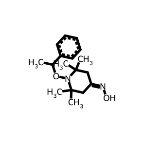 CC(ON1C(C)(C)CC(=NO)CC1(C)C)c1ccccc1